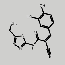 CCc1nnc(NC(=O)C(C#N)=Cc2ccc(O)c(O)c2)s1